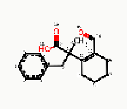 CC(Cc1ccccc1)(C(=O)O)C1=C(C=O)CCCC1